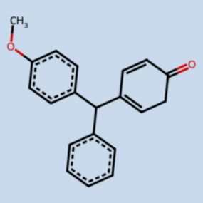 COc1ccc([C](C2=CCC(=O)C=C2)c2ccccc2)cc1